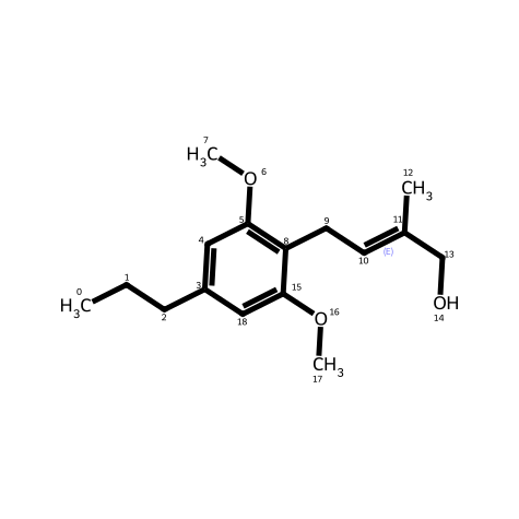 CCCc1cc(OC)c(C/C=C(\C)CO)c(OC)c1